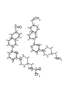 C=Cc1ccc2cc(-c3ccnc(N4CCC(CN)CC4)n3)ccc2c1.O=Cc1ccc2cc(-c3ccnc(N4CCC(CNC(=O)C(F)(F)F)CC4)n3)ccc2c1